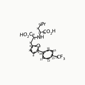 CC(C)C[C@H](N[C@@H](Cc1ccc(-c2ccc(C(F)(F)F)cc2)o1)C(=O)O)C(=O)O